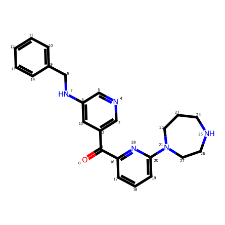 O=C(c1cncc(NCc2ccccc2)c1)c1cccc(N2CCCNCC2)n1